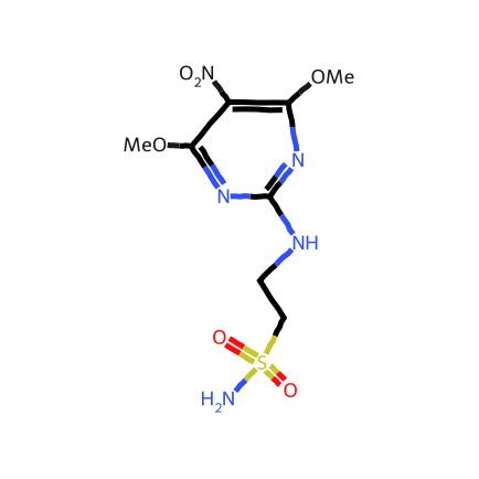 COc1nc(NCCS(N)(=O)=O)nc(OC)c1[N+](=O)[O-]